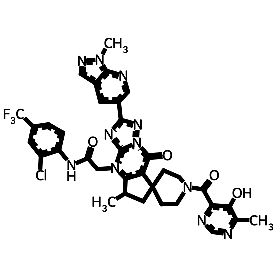 Cc1ncnc(C(=O)N2CCC3(CC2)CC(C)c2c3c(=O)n3nc(-c4cnc5c(cnn5C)c4)nc3n2CC(=O)Nc2ccc(C(F)(F)F)cc2Cl)c1O